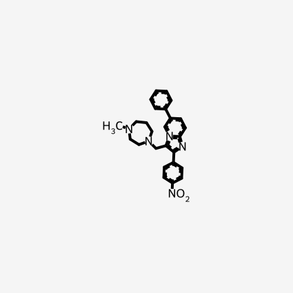 CN1CCCN(Cc2c(-c3ccc([N+](=O)[O-])cc3)nc3ccc(-c4ccccc4)cn23)CC1